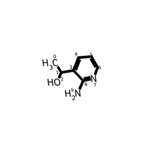 CC(O)c1cccnc1N